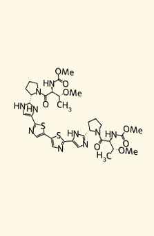 COC(=O)N[C@H](C(=O)N1CCC[C@H]1c1ncc(-c2ncc(-c3cnc(C4=CNC([C@@H]5CCCN5C(=O)[C@@H](NC(=O)OC)[C@@H](C)OC)N4)s3)s2)[nH]1)[C@@H](C)OC